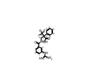 N=C(N)Nc1cccc(C(=O)NCC(C(=O)O)(c2ccccc2)C(F)(F)F)c1